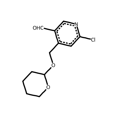 O=Cc1cnc(Cl)cc1COC1CCCCO1